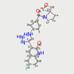 N=N/C(=C\Nc1ccc(C(=O)N2CCCC23COC3)cc1)c1cc2cc(F)ccc2[nH]c1=O